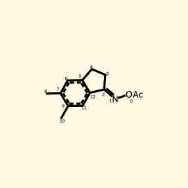 CC(=O)O/N=C1\CCc2cc(C)c(C)cc21